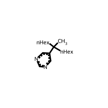 CCCCCCC(C)(CCCCCC)c1cncnc1